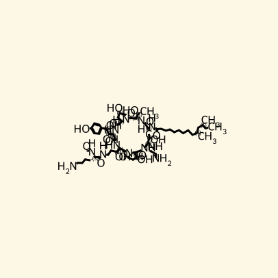 CC[C@H](C)C[C@H](C)CCCCCCCCC(=O)N[C@H]1C[C@@H](O)[C@@H](NCCN)NC(=O)[C@@H]2[C@@H](O)CCN2C(=O)[C@H]([C@H](O)CCNC(=O)[C@H](CCCCN)NC=O)NC(=O)[C@H]([C@H](O)[C@@H](O)c2ccc(O)cc2)NC(=O)[C@@H]2C[C@@H](O)CN2C(=O)[C@H]([C@@H](C)O)NC1=O